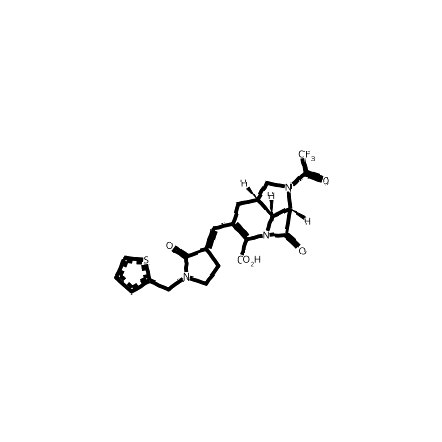 O=C(O)C1=C(/C=C2\CCN(Cc3cccs3)C2=O)C[C@@H]2CN(C(=O)C(F)(F)F)[C@@H]3C(=O)N1[C@H]23